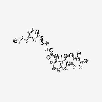 CC[C@H](C)CCc1ccnc(SSCCOC(=O)Nc2cccc3c2C(=O)N(C2CCC(=O)NC2=O)C3)c1